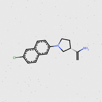 C=C(N)[C@H]1CCN(c2ccc3cc(Cl)ccc3c2)C1